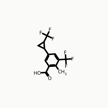 Cc1c(C(=O)O)cc(C2CC2C(F)(F)F)cc1C(F)(F)F